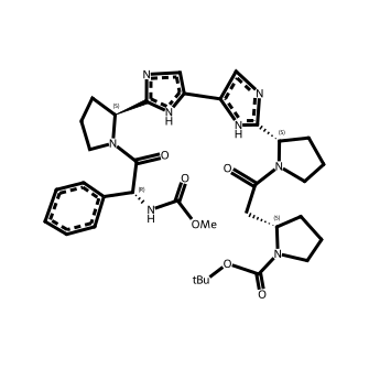 COC(=O)N[C@@H](C(=O)N1CCC[C@H]1c1ncc(-c2cnc([C@@H]3CCCN3C(=O)C[C@@H]3CCCN3C(=O)OC(C)(C)C)[nH]2)[nH]1)c1ccccc1